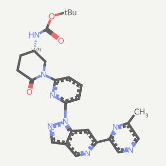 Cc1cncc(-c2cc3c(cn2)cnn3-c2cccc(N3C[C@@H](NC(=O)OC(C)(C)C)CCC3=O)n2)n1